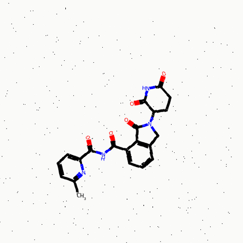 Cc1cccc(C(=O)NC(=O)c2cccc3c2C(=O)N(C2CCC(=O)NC2=O)C3)n1